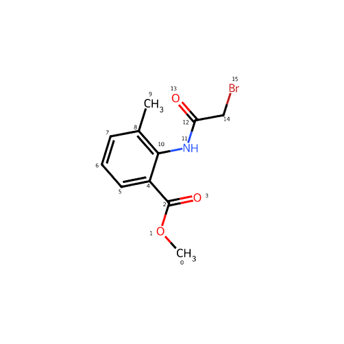 COC(=O)c1cccc(C)c1NC(=O)CBr